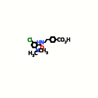 CN(C)c1ccc(Cl)cc1C(=O)NCCc1ccc(C(=O)O)cc1